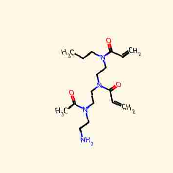 C=CC(=O)N(CCC)CCN(CCN(CCN)C(C)=O)C(=O)C=C